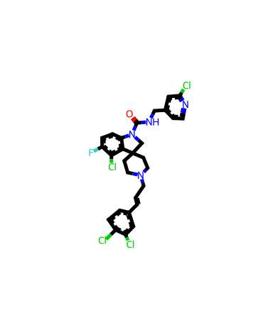 O=C(NCc1ccnc(Cl)c1)N1CC2(CCN(CC=Cc3ccc(Cl)c(Cl)c3)CC2)c2c1ccc(F)c2Cl